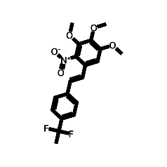 COc1cc(/C=C/c2ccc(C(C)(F)F)cc2)c([N+](=O)[O-])c(OC)c1OC